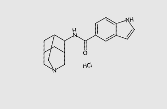 Cl.O=C(NC1C2CC3CC1CN(C3)C2)c1ccc2[nH]ccc2c1